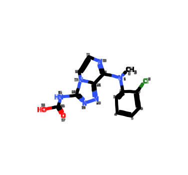 CN(c1ccccc1Cl)c1nccn2c(NC(=O)O)nnc12